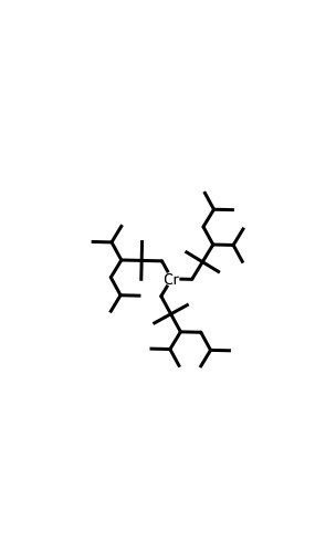 CC(C)CC(C(C)C)C(C)(C)[CH2][Cr]([CH2]C(C)(C)C(CC(C)C)C(C)C)[CH2]C(C)(C)C(CC(C)C)C(C)C